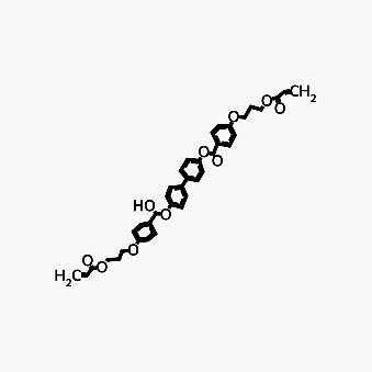 C=CC(=O)OCCCOc1ccc(C(=O)Oc2ccc(-c3ccc(OC(O)c4ccc(OCCCOC(=O)C=C)cc4)cc3)cc2)cc1